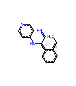 C/C=c1/cccc/c1=C(/C=N)Nc1ccncc1